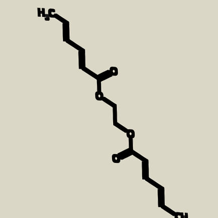 C/C=C/C=CC(=O)OCCOC(=O)/C=C/C=C/C